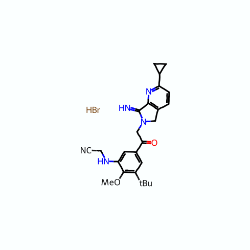 Br.COc1c(NCC#N)cc(C(=O)CN2Cc3ccc(C4CC4)nc3C2=N)cc1C(C)(C)C